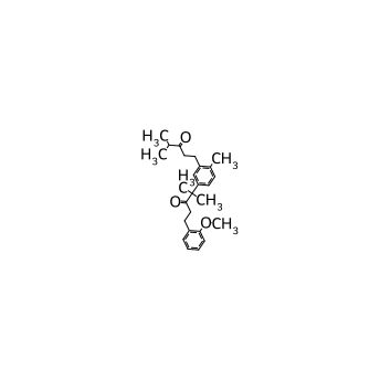 COc1ccccc1CCC(=O)C(C)(C)c1ccc(C)c(CCC(=O)C(C)C)c1